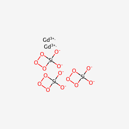 [Gd+3].[Gd+3].[O-][Si]1([O-])OOO1.[O-][Si]1([O-])OOO1.[O-][Si]1([O-])OOO1